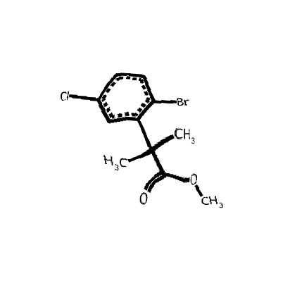 COC(=O)C(C)(C)c1cc(Cl)ccc1Br